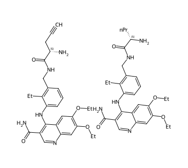 C#CC[C@H](N)C(=O)NCc1cccc(Nc2c(C(N)=O)cnc3cc(OCC)c(OCC)cc23)c1CC.CCC[C@H](N)C(=O)NCc1cccc(Nc2c(C(N)=O)cnc3cc(OCC)c(OCC)cc23)c1CC